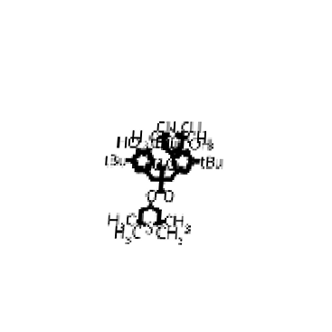 CC1(C)CC(OC(=O)C(Cc2cc(C(C)(C)C)c(O)c(C(C)(C)C)c2)(Cc2cc(C(C)(C)C)c(O)c(C(C)(C)C)c2)C(=O)OC2CC(C)(C)SC(C)(C)C2)CC(C)(C)S1